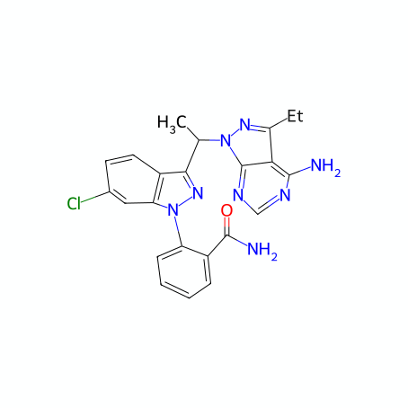 CCc1nn(C(C)c2nn(-c3ccccc3C(N)=O)c3cc(Cl)ccc23)c2ncnc(N)c12